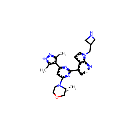 Cc1n[nH]c(C)c1-c1cc(N2CCOC[C@H]2C)nc(-c2ccnc3c2ccn3CC2CNC2)n1